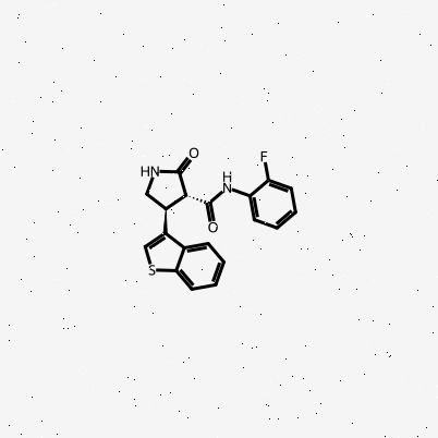 O=C1NC[C@H](c2csc3ccccc23)[C@H]1C(=O)Nc1ccccc1F